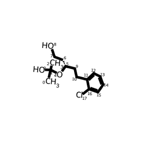 CC(C)(O)O[C@H](CCO)CCc1ccccc1Cl